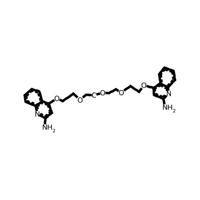 Nc1cc(OCCOCCOCCOCCOc2cc(N)nc3ccccc23)c2ccccc2n1